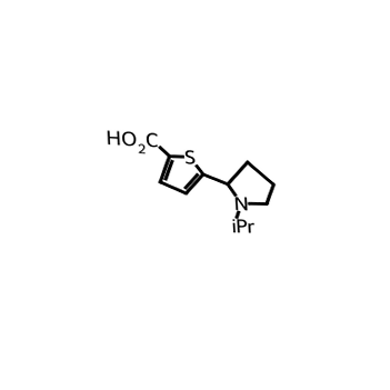 CC(C)N1CCCC1c1ccc(C(=O)O)s1